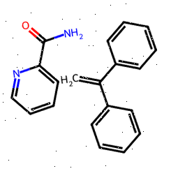 C=C(c1ccccc1)c1ccccc1.NC(=O)c1ccccn1